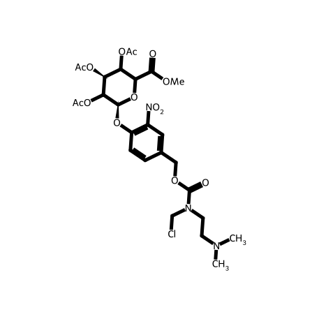 COC(=O)C1O[C@@H](Oc2ccc(COC(=O)N(CCl)CCN(C)C)cc2[N+](=O)[O-])C(OC(C)=O)[C@@H](OC(C)=O)C1OC(C)=O